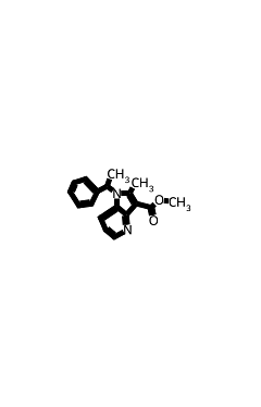 COC(=O)c1c(C)n(C(C)c2ccccc2)c2cccnc12